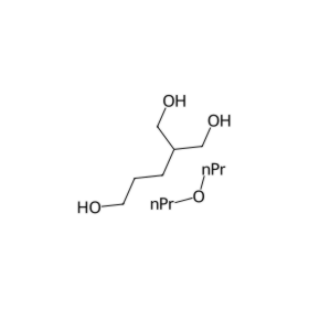 CCCOCCC.OCCCC(CO)CO